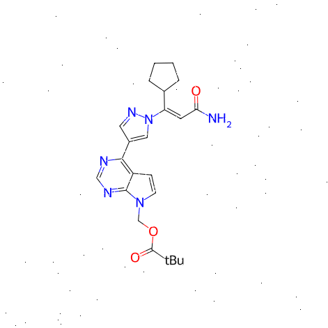 CC(C)(C)C(=O)OCn1ccc2c(-c3cnn(C(=CC(N)=O)C4CCCC4)c3)ncnc21